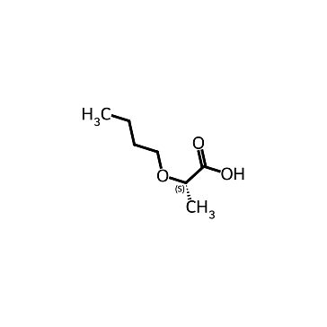 CCCCO[C@@H](C)C(=O)O